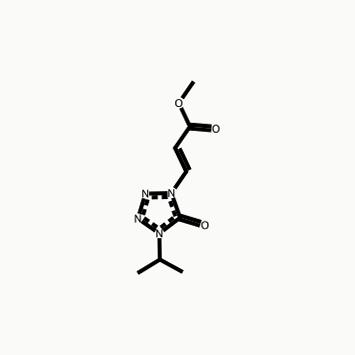 COC(=O)/C=C/n1nnn(C(C)C)c1=O